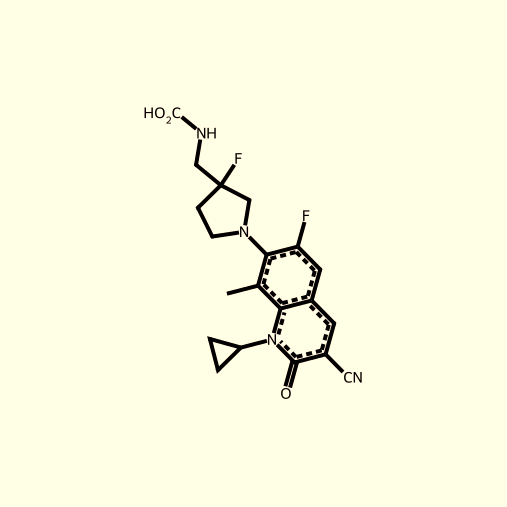 Cc1c(N2CCC(F)(CNC(=O)O)C2)c(F)cc2cc(C#N)c(=O)n(C3CC3)c12